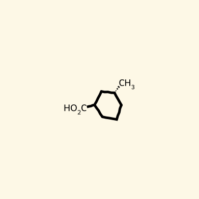 C[C@@H]1CCCC(C(=O)O)C1